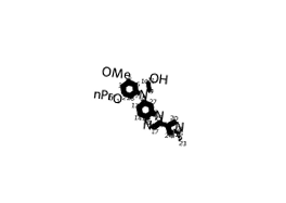 CCCOc1cc(OC)cc(N(CCO)c2ccc3ncc(-c4cnn(C)c4)nc3c2)c1